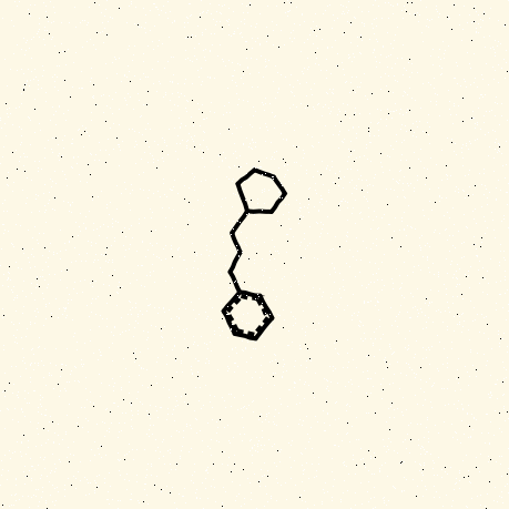 [c]1ccccc1CCCC1CCCCC1